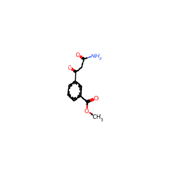 COC(=O)c1cccc(C(=O)CC(N)=O)c1